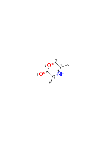 CC(C=O)NC(C)C=O